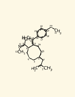 C=C(C)CC1CCCC(/C(C)=N\C)/C(=C(\C)c2ccc(CC)cc2)CC1